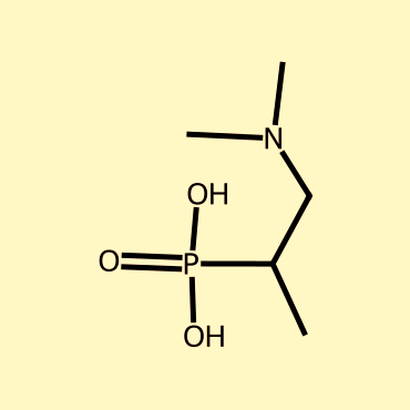 CC(CN(C)C)P(=O)(O)O